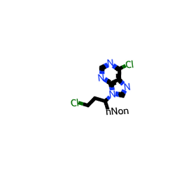 CCCCCCCCCC(CCCl)n1cnc2c(Cl)ncnc21